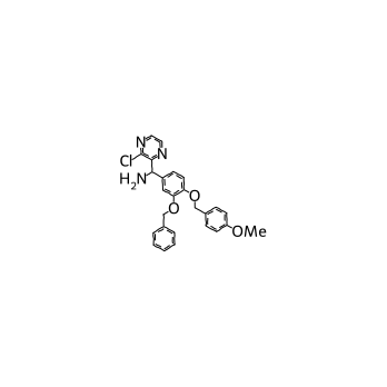 COc1ccc(COc2ccc(C(N)c3nccnc3Cl)cc2OCc2ccccc2)cc1